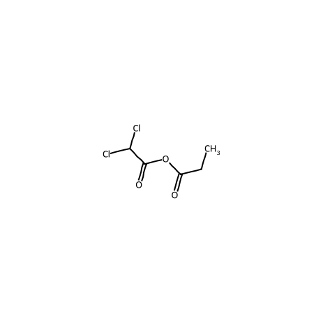 CCC(=O)OC(=O)C(Cl)Cl